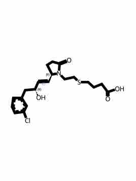 O=C(O)CCCSCCN1C(=O)CC[C@@H]1/C=C/[C@H](O)Cc1cccc(Cl)c1